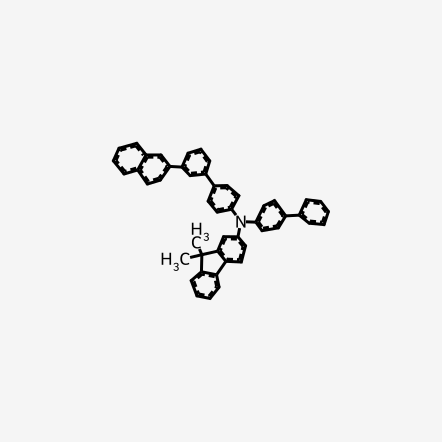 CC1(C)c2ccccc2-c2ccc(N(c3ccc(-c4ccccc4)cc3)c3ccc(-c4cccc(-c5ccc6ccccc6c5)c4)cc3)cc21